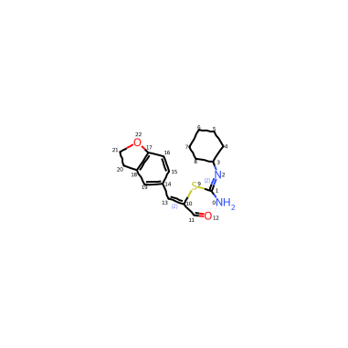 N/C(=N/C1CCCCC1)S/C(C=O)=C\c1ccc2c(c1)CCO2